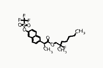 CCCCC[C@](C)(F)COC(=O)[C@@H](C)c1ccc2cc(OS(=O)(=O)C(F)(F)F)ccc2c1